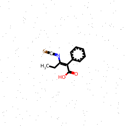 CCC(N=C=S)=C(C(=O)O)c1ccccc1